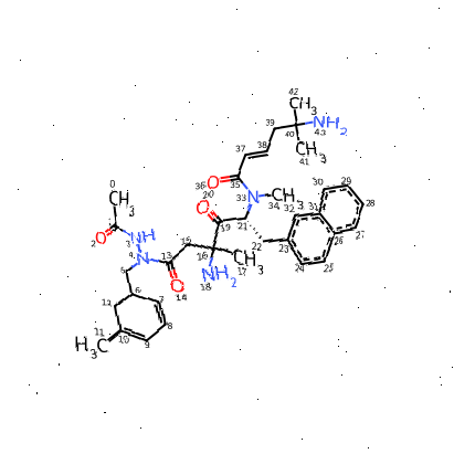 CC(=O)NN(CC1C=CC=C(C)C1)C(=O)CC(C)(N)C(=O)[C@@H](Cc1ccc2ccccc2c1)N(C)C(=O)/C=C/CC(C)(C)N